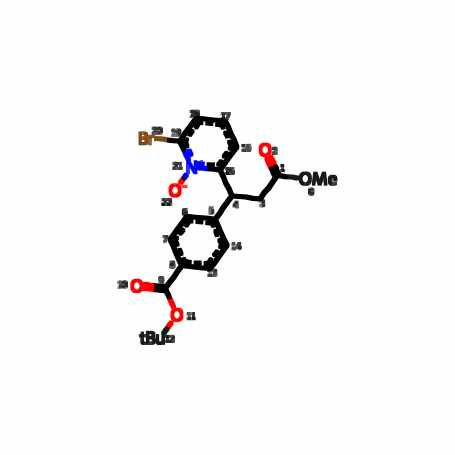 COC(=O)CC(c1ccc(C(=O)OC(C)(C)C)cc1)c1cccc(Br)[n+]1[O-]